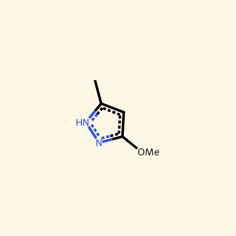 [CH2]Oc1cc(C)[nH]n1